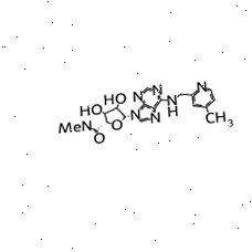 CNC(=O)[C@H]1O[C@@H](n2cnc3c(NCc4cc(C)ccn4)ncnc32)C(O)C1O